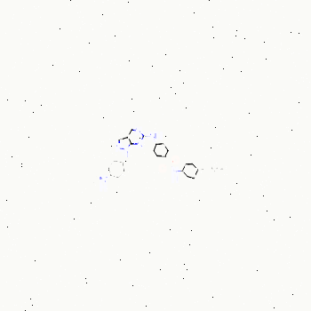 COc1ccc(NS(=O)(=O)c2ccc(Nc3ncc4cnn(C[C@H]5CC[C@H](NC(=O)O)CC5)c4n3)cc2)cc1